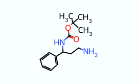 CC(C)(C)OC(=O)NC(CCN)c1ccccc1